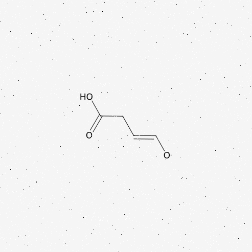 [O]C=CCC(=O)O